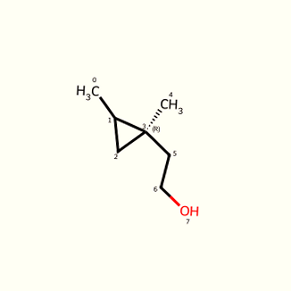 CC1C[C@]1(C)CCO